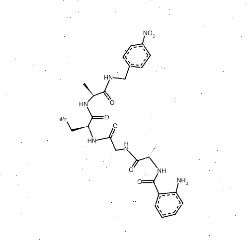 CC(C)C[C@H](NC(=O)CNC(=O)[C@H](C)NC(=O)c1ccccc1N)C(=O)N[C@@H](C)C(=O)NCc1ccc([N+](=O)[O-])cc1